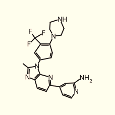 Cc1nc2ccc(-c3ccnc(N)c3)nc2n1-c1ccc(N2CCNCC2)c(C(F)(F)F)c1